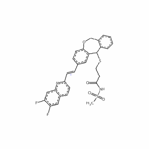 CS(=O)(=O)NC(=O)CCSC1c2ccccc2COc2ccc(/C=C/c3ccc4cc(F)c(F)cc4n3)cc21